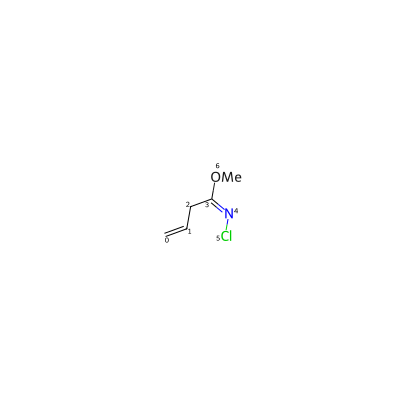 C=CCC(=NCl)OC